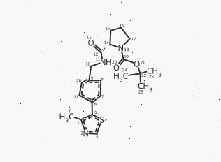 Cc1ncsc1-c1ccc(CNC(=O)[C@@H]2CCCN2C(=O)OC(C)(C)C)cc1